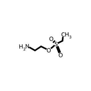 CCS(=O)(=O)OCCN